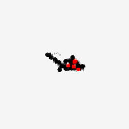 CCCCCCCC1(CCCCCCC)c2ccccc2-c2ccc(-c3ccc4c(c3)C(C)(C)c3cc(-c5cc6c(c7c5oc5ccccc57)-c5ccc(CC(Cc7ccc8c(c7)C(C)(C)c7c9c(c%10oc%11ccccc%11c%10c7-8)-c7ccccc7C9(C)C)c7ccc8c(c7)C(C)(C)c7c9c(c%10oc%11ccccc%11c%10c7-8)-c7ccccc7C9(C)C)cc5C6(CCCCCCC)CCCCCCC)ccc3-4)cc21